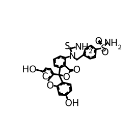 NC(=S)N(Cc1ccc(S(N)(=O)=O)cc1)c1cccc2c1C(=O)OC21c2ccc(O)cc2Oc2cc(O)ccc21